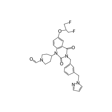 O=CN1CCC(n2c(=O)n(Cc3cccc(Cn4cccn4)c3)c(=O)c3cc(OC(CF)CF)ccc32)CC1